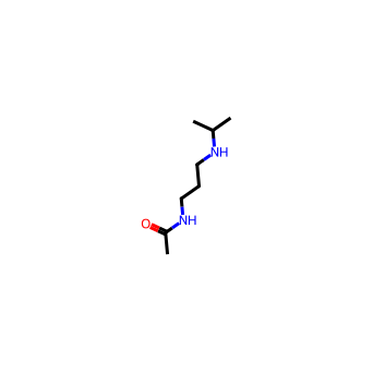 CC(=O)NCCCNC(C)C